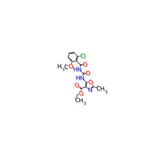 CCOC(=O)c1nc(C)oc1NC(=O)NC(=O)c1c(Cl)cccc1OC